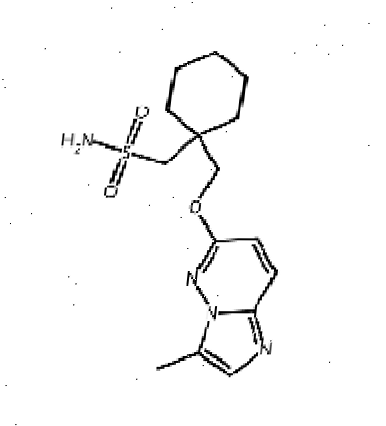 Cc1cnc2ccc(OCC3(CS(N)(=O)=O)CCCCC3)nn12